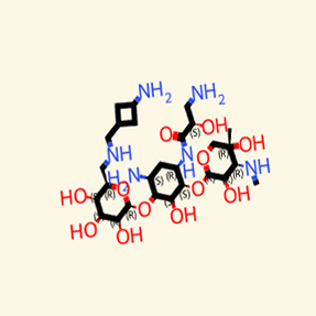 CN[C@@H]1[C@@H](O)[C@@H](O[C@H]2[C@H](NC(=O)[C@@H](O)CN)C[C@H](N)C(O[C@H]3O[C@H](CNCC4CC(N)C4)[C@@H](O)[C@H](O)[C@H]3O)[C@@H]2O)OC[C@]1(C)O